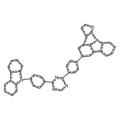 c1ccc2c(c1)c1ccccc1n2-c1ccc(-c2ncnc(-c3ccc(-c4cc5c6ccccc6n6c7sccc7c(c4)c56)cc3)n2)cc1